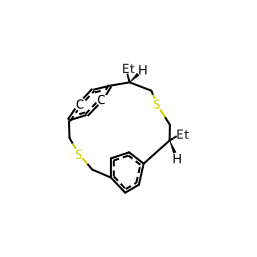 CC[C@@H]1CSC[C@H](CC)c2ccc(cc2)CSCc2ccc1cc2